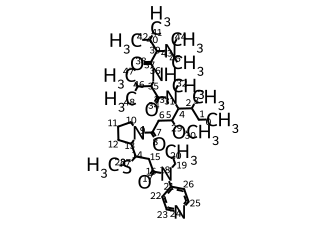 CCC(C)C(C(CC(=O)N1CCCC1C(CC(=O)N(CC)c1ccncc1)SC)OC)N(C)C(=O)C(NC(=O)C(C(C)C)N(C)C)C(C)C